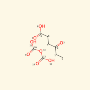 CCC(=O)CCC(=O)O.O=C(O)OC(=O)O